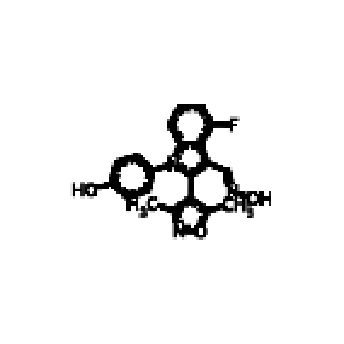 Cc1noc(C)c1-c1c(C=NO)c2c(F)cccc2n1-c1ccc(O)cc1